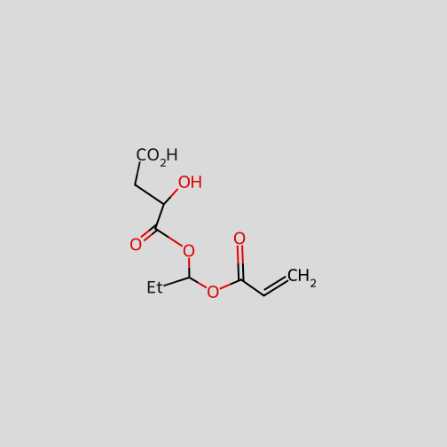 C=CC(=O)OC(CC)OC(=O)C(O)CC(=O)O